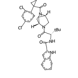 CC(C)(C)[C@H](NC(=O)c1cc2ccccc2[nH]1)C(=O)N1C[C@@H]2C[C@H]1CN2C(=O)C1(c2ccc(Cl)cc2Cl)CC1